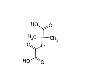 CC(C)(OC(=O)C(=O)O)C(=O)O